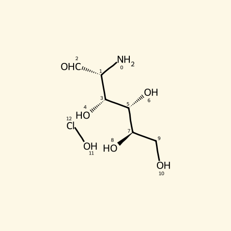 N[C@@H](C=O)[C@@H](O)[C@H](O)[C@H](O)CO.OCl